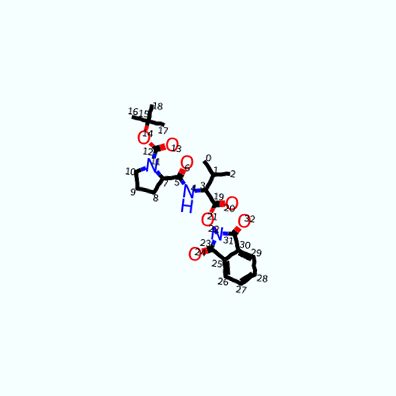 CC(C)C(NC(=O)C1CCCN1C(=O)OC(C)(C)C)C(=O)ON1C(=O)c2ccccc2C1=O